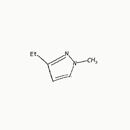 CCc1c[c]n(C)n1